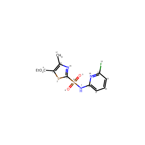 CCOC(=O)c1sc(S(=O)(=O)Nc2cccc(F)n2)nc1C